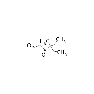 CCC(C)(CC)C(=O)CC=O